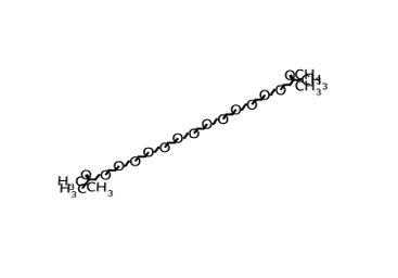 CC(C)(C)C(=O)CCOCCOCCOCCOCCOCCOCCOCCOCCOCCOCCOCCOCCOCCC(=O)C(C)(C)C